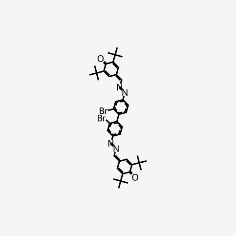 CC(C)(C)C1=CC(=C/N=N/c2ccc(-c3ccc(/N=N/C=C4C=C(C(C)(C)C)C(=O)C(C(C)(C)C)=C4)cc3Br)c(Br)c2)C=C(C(C)(C)C)C1=O